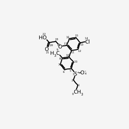 CCC[S+]([O-])c1ccc(C)c(-c2cc(Cl)ccc2OCC(=O)O)c1